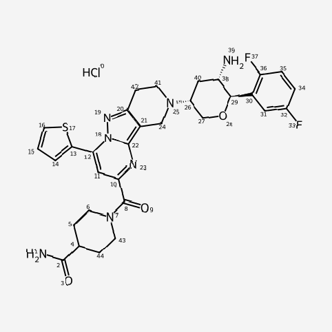 Cl.NC(=O)C1CCN(C(=O)c2cc(-c3cccs3)n3nc4c(c3n2)CN([C@H]2CO[C@H](c3cc(F)ccc3F)[C@@H](N)C2)CC4)CC1